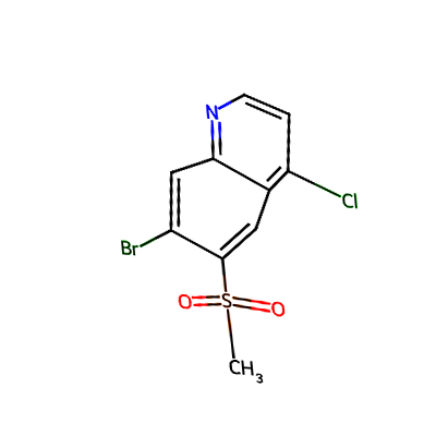 CS(=O)(=O)c1cc2c(Cl)ccnc2cc1Br